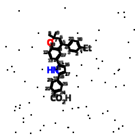 CCc1ccc(C2=CC(C)(C)Oc3ccc(-c4ccc(-c5ccc(C(=O)O)cc5)[nH]4)cc32)cc1